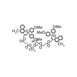 COc1ccc(C2(c3ccc(OC)cc3)C=C(COC(=O)CCC(=O)OC(C)COCC(C)OC(=O)CCC(=O)OCC3=CC(c4ccc(OC)cc4)(c4ccc(OC)cc4)Oc4c3cc(C)c3ccccc43)c3cc(C)c4ccccc4c3O2)cc1